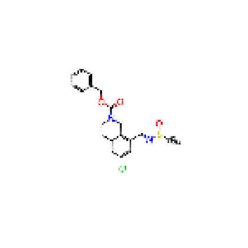 CC(C)(C)[S+]([O-])N=Cc1cc(Cl)cc2c1CN(C(=O)OCc1ccccc1)CC2